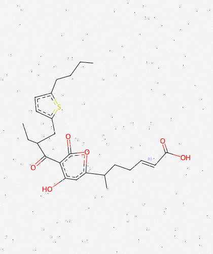 CCCCc1ccc(CC(CC)C(=O)c2c(O)cc(C(C)CC/C=C/C(=O)O)oc2=O)s1